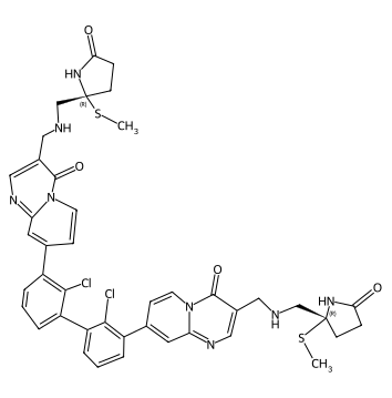 CS[C@@]1(CNCc2cnc3cc(-c4cccc(-c5cccc(-c6ccn7c(=O)c(CNC[C@]8(SC)CCC(=O)N8)cnc7c6)c5Cl)c4Cl)ccn3c2=O)CCC(=O)N1